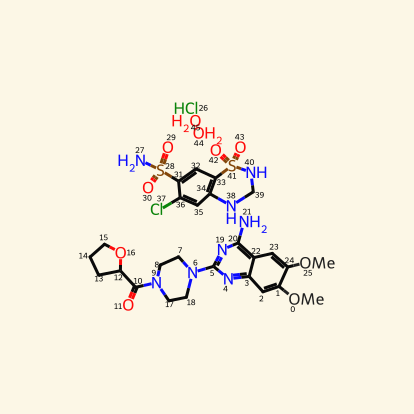 COc1cc2nc(N3CCN(C(=O)C4CCCO4)CC3)nc(N)c2cc1OC.Cl.NS(=O)(=O)c1cc2c(cc1Cl)NCNS2(=O)=O.O.O